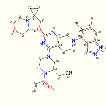 C=CC(=O)N1CCN(c2nc(OCC3(N4CCOCC4)CC3)nc3c2CCN(c2c(C)c(C)cc4[nH]ncc24)C3)C[C@@H]1CC#N